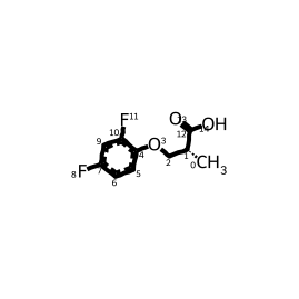 C[C@H](COc1ccc(F)cc1F)C(=O)O